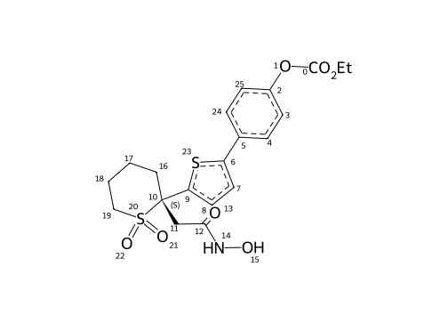 CCOC(=O)Oc1ccc(-c2ccc([C@@]3(CC(=O)NO)CCCCS3(=O)=O)s2)cc1